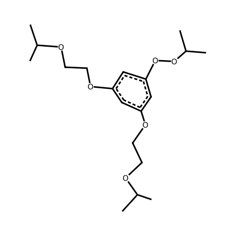 CC(C)OCCOc1cc(OCCOC(C)C)cc(OOC(C)C)c1